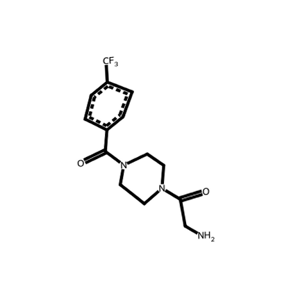 NCC(=O)N1CCN(C(=O)c2ccc(C(F)(F)F)cc2)CC1